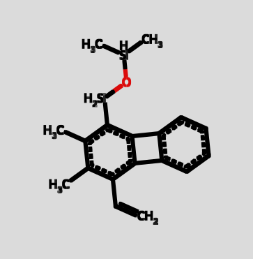 C=Cc1c(C)c(C)c([SiH2]O[SiH](C)C)c2c1-c1ccccc1-2